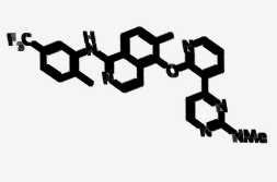 CNc1nccc(-c2cccnc2Oc2c(C)ccc3c(Nc4cc(C(F)(F)F)ccc4C)nccc23)n1